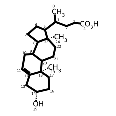 CC(CCC(=O)O)C1CCC2C3CC=C4C[C@@H](O)CC[C@]4(C)C3CC[C@]12C